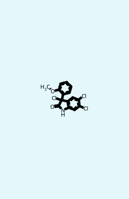 COc1ccccc1C1(Cl)C(=O)Nc2cc(Cl)c(Cl)cc21